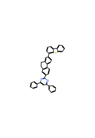 c1ccc(-c2cc(-c3ccccc3)nc(-c3ccc4c(c3)CCc3cc(-c5cccc6c5sc5ccccc56)ccc3-4)n2)cc1